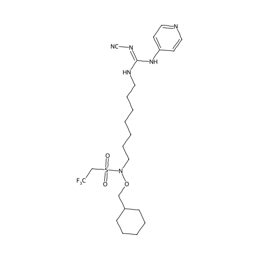 N#C/N=C(\NCCCCCCCN(OCC1CCCCC1)S(=O)(=O)CC(F)(F)F)Nc1ccncc1